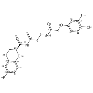 C=C(CCNC(=O)COc1ccc(Cl)c(F)c1)NC(=O)[C@@H]1CCc2cc(F)ccc2O1